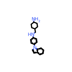 NC1CCC(CNc2ccc(-n3ccc4ccccc43)cc2)CC1